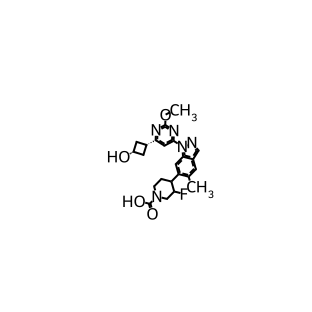 COc1nc(-n2ncc3cc(C)c(C4CCN(C(=O)O)CC4F)cc32)cc([C@H]2C[C@@H](O)C2)n1